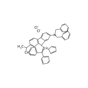 CC(C)c1ccc2c(c1)[CH]([Zr+2](=[C](c1ccccc1)c1ccccc1)[CH]1C=CC=C1)c1cc(N(Cc3ccccc3)Cc3ccccc3)ccc1-2.[Cl-].[Cl-]